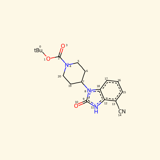 CC(C)(C)OC(=O)N1CCC(n2c(=O)[nH]c3c(C#N)cccc32)CC1